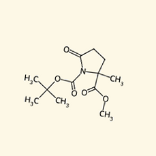 COC(=O)C1(C)CCC(=O)N1C(=O)OC(C)(C)C